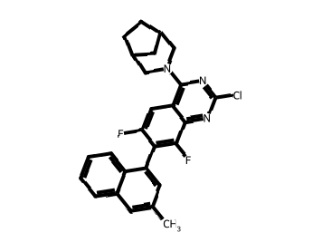 Cc1cc(-c2c(F)cc3c(N4CC5CCC(C5)C4)nc(Cl)nc3c2F)c2ccccc2c1